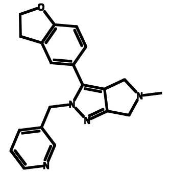 CN1Cc2nn(Cc3cccnc3)c(-c3ccc4c(c3)CCO4)c2C1